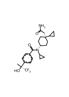 C[C@](O)(c1ccc(C(=O)N(C2CC2)[C@H]2CC[C@](CC(N)=O)(C3CC3)CC2)cc1)C(F)(F)F